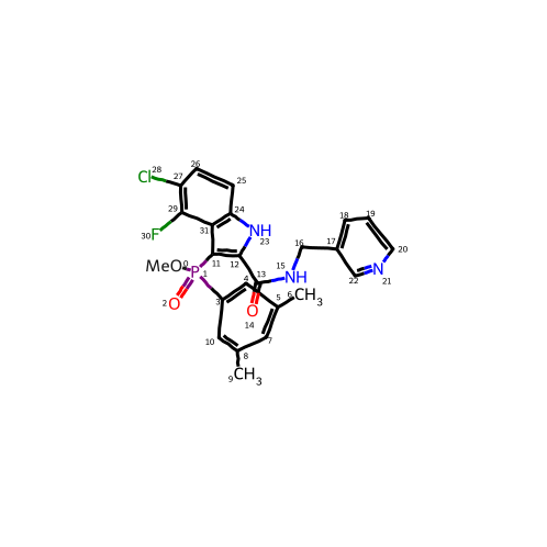 COP(=O)(c1cc(C)cc(C)c1)c1c(C(=O)NCc2cccnc2)[nH]c2ccc(Cl)c(F)c12